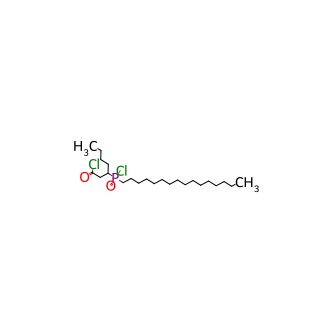 CCCCCCCCCCCCCCCCP(=O)(Cl)C(CCCC)CC(=O)Cl